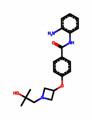 CC(C)(O)CN1CC(Oc2ccc(C(=O)Nc3ccccc3N)cc2)C1